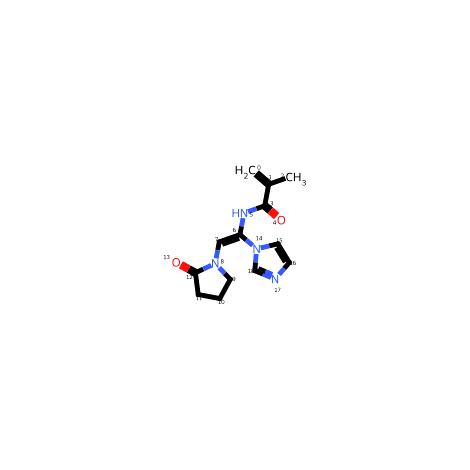 C=C(C)C(=O)NC(=CN1CCCC1=O)n1ccnc1